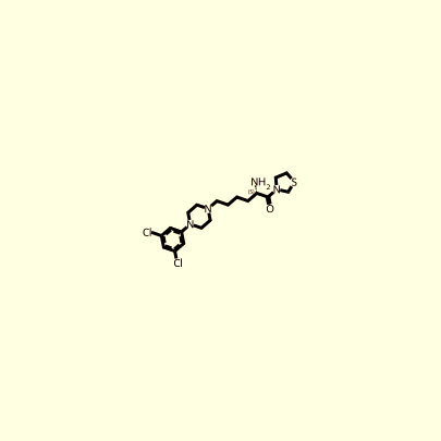 N[C@@H](CCCCN1CCN(c2cc(Cl)cc(Cl)c2)CC1)C(=O)N1CCSC1